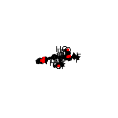 COC(=O)N[C@H](C(=O)N[C@@H](Cc1ccc(C#Cc2ccc(N3CC4CCC(C3)N4C3COC3)nc2)cc1)[C@@H](O)CN(Cc1ccc(-c2cnn(C(F)F)c2)cc1)NC(=O)[C@@H](NC(=O)O)C(C)(C)C)C(C)(C)C(F)(F)F